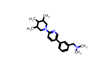 CC1CN(c2ccc(-c3cccc(CN(C)C)c3)cn2)CC(C)C1C